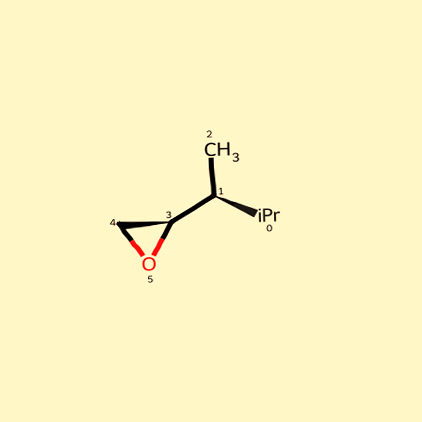 CC(C)[C@H](C)[C@@H]1CO1